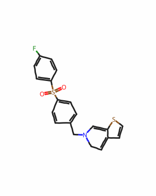 O=S(=O)(c1ccc(F)cc1)c1ccc(CN2C=c3sccc3=CC2)cc1